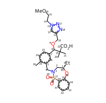 CC[C@@H]1CN(Cc2cc(C(OCc3cn(CCOC)nn3)C(C)(C)C(=O)O)ccc2C)S(=O)(=O)c2ccccc2O1